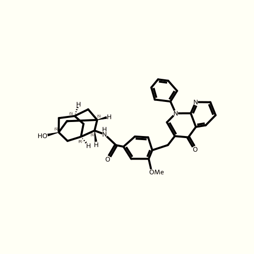 COc1cc(C(=O)N[C@@H]2[C@@H]3C[C@@H]4C[C@H]2C[C@@](O)(C4)C3)ccc1Cc1cn(-c2ccccc2)c2ncccc2c1=O